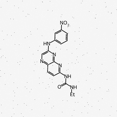 CCNC(=O)Nc1ccc2ncc(Nc3cccc([N+](=O)[O-])c3)nc2n1